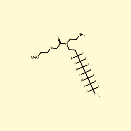 COCCOCC(=O)N(CCN)CCC(F)(F)C(F)(F)C(F)(F)C(F)(F)C(F)(F)C(F)(F)C(F)(F)C(F)(F)F